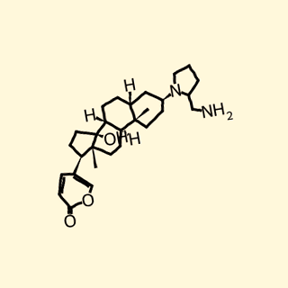 C[C@]12CC[C@H](N3CCCC3CN)C[C@H]1CC[C@@H]1[C@@H]2CC[C@]2(C)[C@@H](c3ccc(=O)oc3)CC[C@]12O